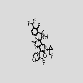 Cc1nc(N[C@H](C)c2cccc(C(F)F)c2F)c2cn(C3(CF)CC3)c(=O)c(N3CCOC[C@@H]3CF)c2n1